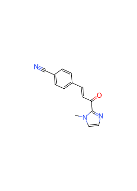 Cn1ccnc1C(=O)C=Cc1ccc(C#N)cc1